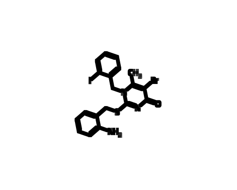 Cc1c(Br)c(=O)nc(SCc2ccccc2N)n1Cc1ccccc1I